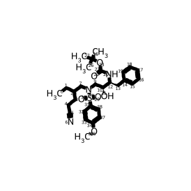 CCC(CCC#N)CN(C[C@@H](O)[C@H](Cc1ccccc1)NC(=O)OC(C)(C)C)S(=O)(=O)c1ccc(OC)cc1